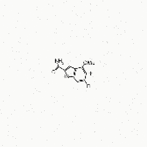 COc1c(F)c(Cl)cc2[nH]c(C(N)=O)cc12